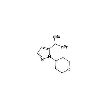 CCCCC(CCC)c1ccnn1C1CCOCC1